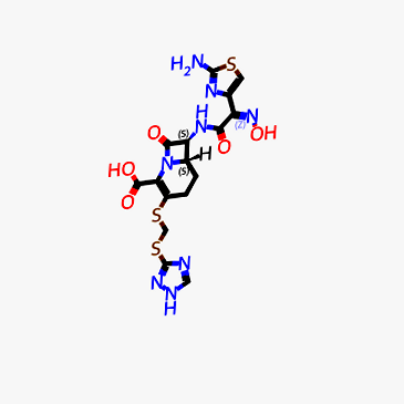 Nc1nc(/C(=N/O)C(=O)N[C@@H]2C(=O)N3C(C(=O)O)=C(SCSc4nc[nH]n4)CC[C@@H]23)cs1